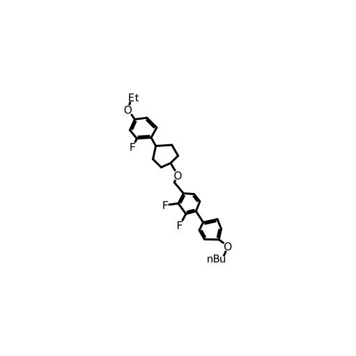 CCCCOc1ccc(-c2ccc(COC3CCC(c4ccc(OCC)cc4F)CC3)c(F)c2F)cc1